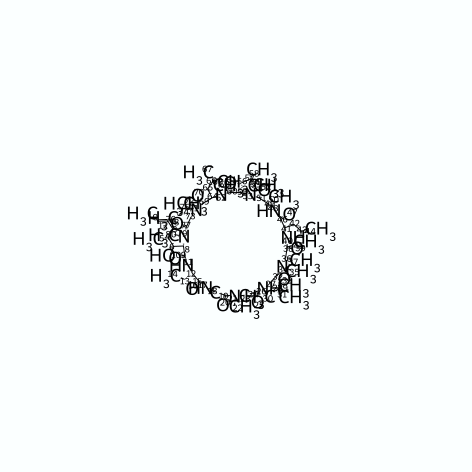 C/C=C/C[C@@H](C)[C@@H](O)[C@H]1C(=O)N[C@@H](CC)C(=O)NCC(=O)N(C)CC(=O)N[C@@H](C(C)(C)C)C(=O)N(C)[C@@H](C)C(=O)NC(CC(C)C)C(=O)N[C@H](C)C(=O)N(C)[C@@H](CC(C)C)C(=O)N(C)[C@H](CC(C)C)C(=O)N(C)[C@@H](C(C)C)C(=O)N1C